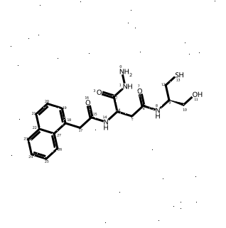 NNC(=O)C(CC(=O)N[C@H](CO)CS)NC(=O)Cc1cccc2ccccc12